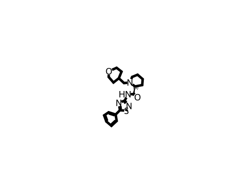 O=C(Nc1nsc(-c2ccccc2)n1)[C@@H]1CCCCN1CC1CCOCC1